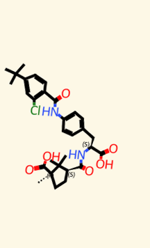 CC(C)(C)c1ccc(C(=O)Nc2ccc(C[C@H](NC(=O)[C@H]3CC[C@@](C)(C(=O)O)C3(C)C)C(=O)O)cc2)c(Cl)c1